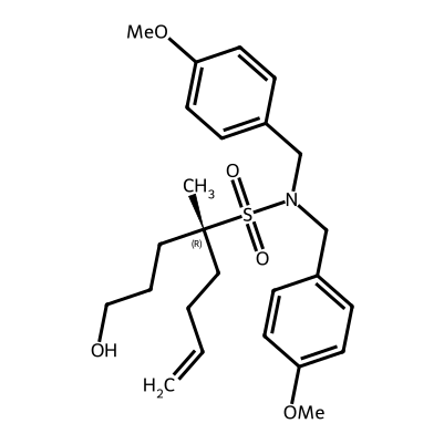 C=CCC[C@](C)(CCCO)S(=O)(=O)N(Cc1ccc(OC)cc1)Cc1ccc(OC)cc1